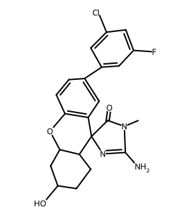 CN1C(=O)C2(N=C1N)c1cc(-c3cc(F)cc(Cl)c3)ccc1OC1CC(O)CCC12